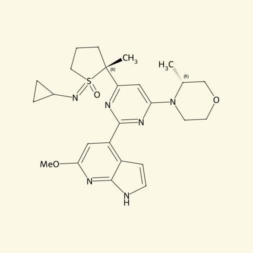 COc1cc(-c2nc(N3CCOC[C@H]3C)cc([C@@]3(C)CCCS3(=O)=NC3CC3)n2)c2cc[nH]c2n1